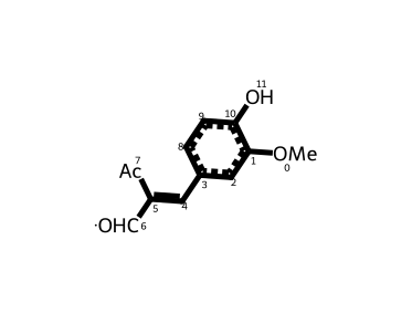 COc1cc(C=C([C]=O)C(C)=O)ccc1O